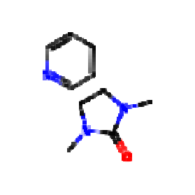 CN1CCN(C)C1=O.c1ccncc1